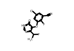 CC(F)c1nc[nH]c(=O)c1Oc1cc(Cl)cc(C#N)c1F